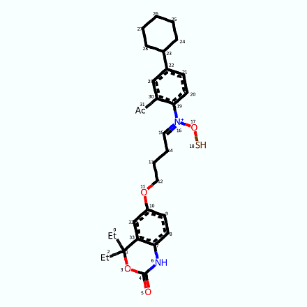 CCC1(CC)OC(=O)Nc2ccc(OCCCC=[N+](OS)c3ccc(C4CCCCC4)cc3C(C)=O)cc21